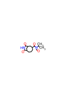 CC(C)N(C=O)C(=O)C1CCCC2CC(C1)C(=O)NC2=O